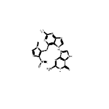 Cn1cnc([N+](=O)[O-])c1Sc1nc(N)nc2nc[nH]c12.Nc1nc2nc[nH]c2c(=S)[nH]1